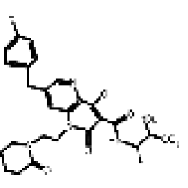 C[C@@H](NC(=O)c1c(O)c2ncc(Cc3ccc(F)cc3)cc2n(CCN2CCCCC2=O)c1=O)C(C(=O)O)C(C)(C)C